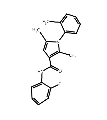 Cc1cc(C(=O)Nc2ccccc2F)c(C)n1-c1ccccc1C(F)(F)F